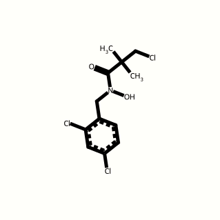 CC(C)(CCl)C(=O)N(O)Cc1ccc(Cl)cc1Cl